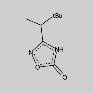 CC(c1noc(=O)[nH]1)C(C)(C)C